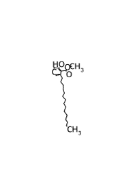 CCCCCCCCCCCCCCCC1=CCCC(O)=C1C(=O)OC